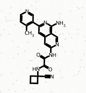 Cc1ccncc1-c1cc2cc(NC(=O)C(=O)NC3(C#N)CCC3)ncc2c(N)n1